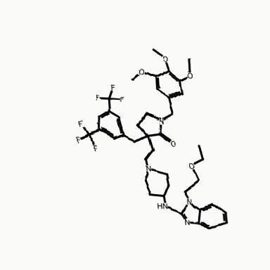 CCOCCn1c(NC2CCN(CCC3(Cc4cc(C(F)(F)F)cc(C(F)(F)F)c4)CCN(Cc4cc(OC)c(OC)c(OC)c4)C3=O)CC2)nc2ccccc21